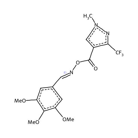 COc1cc(/C=N/OC(=O)c2cn(C)nc2C(F)(F)F)cc(OC)c1OC